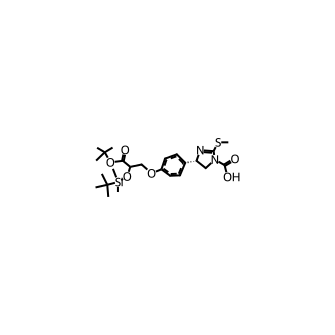 CSC1=N[C@@H](c2ccc(OCC(O[Si](C)(C)C(C)(C)C)C(=O)OC(C)(C)C)cc2)CN1C(=O)O